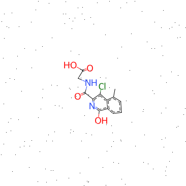 Cc1cccc2c(O)nc(C(=O)NCC(=O)O)c(Cl)c12